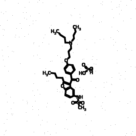 CCCCc1oc2ccc(NS(C)(=O)=O)cc2c1C(=O)c1ccc(OCCCN(CCCC)CCCC)cc1.O=[PH](O)O